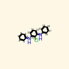 Clc1c(Nc2ccccc2)cccc1Nc1ccccc1